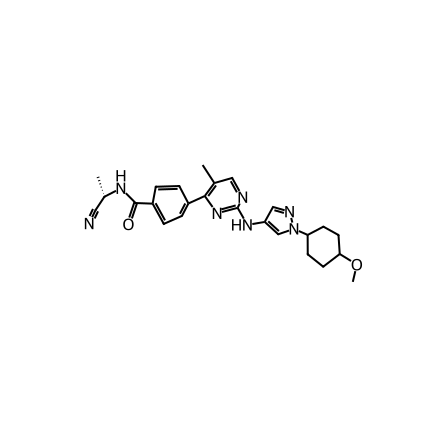 COC1CCC(n2cc(Nc3ncc(C)c(-c4ccc(C(=O)N[C@@H](C)C#N)cc4)n3)cn2)CC1